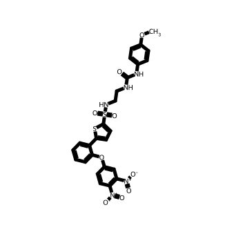 COc1ccc(NC(=O)NCCNS(=O)(=O)c2ccc(-c3ccccc3Oc3ccc([N+](=O)[O-])c([N+](=O)[O-])c3)s2)cc1